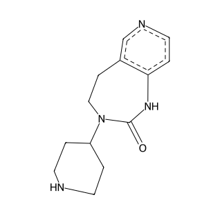 O=C1Nc2ccncc2CCN1C1CCNCC1